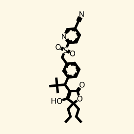 CCCC1(CCC)OC(=O)C(C(c2cccc(CS(=O)(=O)c3ccc(C#N)cn3)c2)C(C)(C)C)=C1O